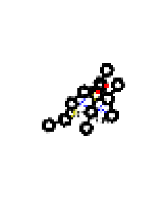 N#Cc1c(-c2ccccc2)c(C#N)c(-n2c3c(ccc4c5cc(-c6ccccc6)ccc5sc43)c3ccc4c5cc(-c6ccccc6)ccc5sc4c32)c(-c2ccccc2)c1-n1c2ccccc2c2cc(-c3ccccc3)c(-c3ccccc3)cc21